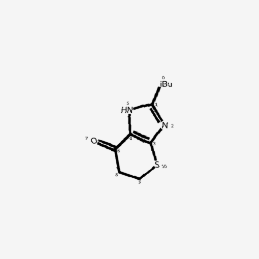 CCC(C)c1nc2c([nH]1)C(=O)CCS2